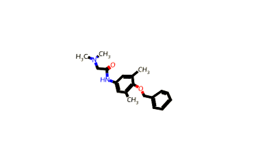 Cc1cc(NC(=O)CN(C)C)cc(C)c1OCc1ccccc1